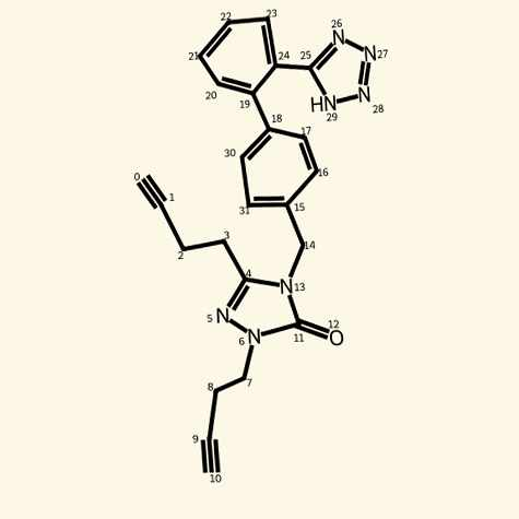 C#CCCc1nn(CCC#C)c(=O)n1Cc1ccc(-c2ccccc2-c2nnn[nH]2)cc1